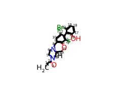 C=CC(=O)N1CCN2Cc3cc(F)c(-c4c(O)cccc4Br)c(F)c3OC[C@H]2C1